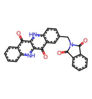 O=C1c2ccccc2C(=O)N1Cc1ccc2[nH]c3c(=O)c4ccccc4[nH]c3c(=O)c2c1